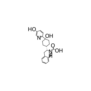 O=C(O)NC(Cc1ccccc1F)[C@H]1CC[C@](O)(c2ccc(O)cn2)CC1